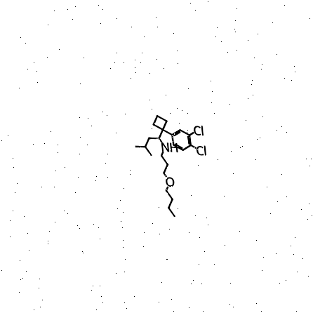 CCCCOCCCN[C@@H](CC(C)C)C1(c2ccc(Cl)c(Cl)c2)CCC1